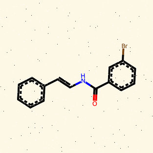 O=C(N/C=C/c1ccccc1)c1cccc(Br)c1